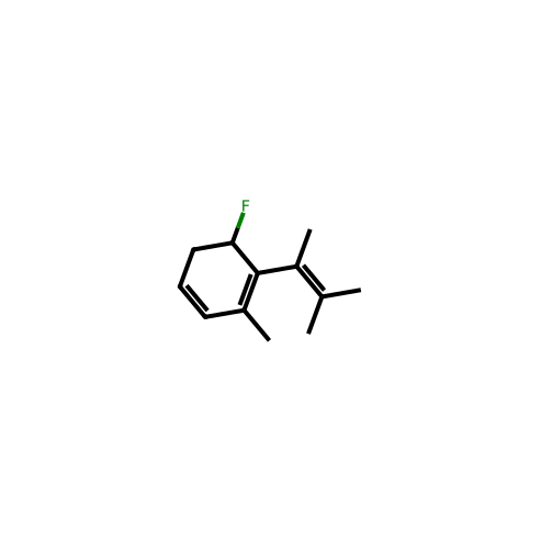 CC(C)=C(C)C1=C(C)C=CCC1F